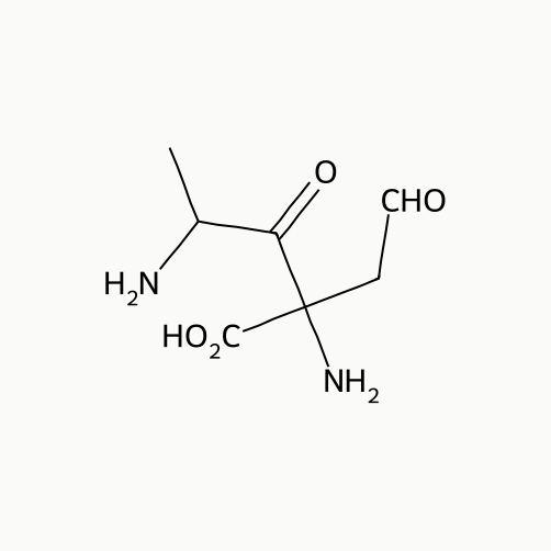 CC(N)C(=O)C(N)(CC=O)C(=O)O